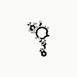 CC[C@H]1OC(=O)C[C@@H](O)[C@H](C)[C@@H](O[C@@H]2O[C@@H]3OC3C(N(C)C)C2O)[C@@H](CC=O)C[C@@H](C)C(=O)/C=C/C(C)=C/[C@@H]1Cn1cc(Cn2nnc3ccccc32)nn1